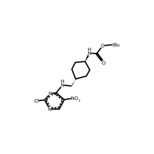 CC(C)(C)OC(=O)N[C@H]1CC[C@H](CNc2nc(Cl)ncc2[N+](=O)[O-])CC1